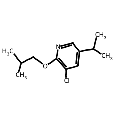 CC(C)COc1ncc(C(C)C)cc1Cl